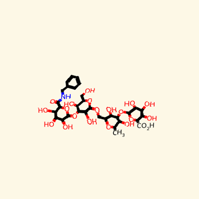 CC1OC(COC2OC(CO)C(O)C(OC3OC(C(=O)NCc4ccccc4)C(O)C(O)C3O)C2O)C(O)C(OC2OC(C(=O)O)C(O)C(O)C2O)C1O